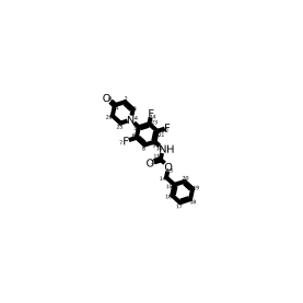 O=C1C=CN(c2c(F)cc(NC(=O)OCc3ccccc3)c(F)c2F)CC1